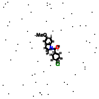 COc1ccc2c(c1)cc(C)n2C(=O)c1ccc(Cl)cc1